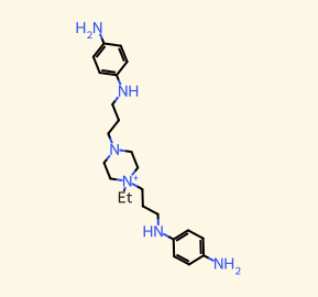 CC[N+]1(CCCNc2ccc(N)cc2)CCN(CCCNc2ccc(N)cc2)CC1